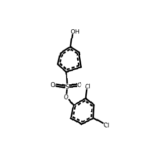 O=S(=O)(Oc1ccc(Cl)cc1Cl)c1ccc(O)cc1